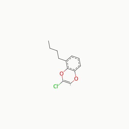 CCCCc1cccc2c1OC(Cl)=[C]O2